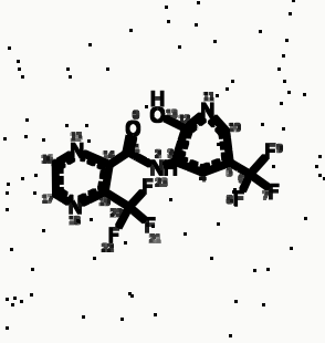 O=C(Nc1cc(C(F)(F)F)cnc1O)c1nccnc1C(F)(F)F